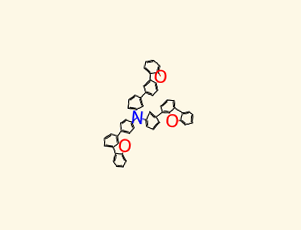 c1cc(-c2ccc3oc4ccccc4c3c2)cc(N(c2ccc(-c3cccc4c3oc3ccccc34)cc2)c2cccc(-c3cccc4c3oc3ccccc34)c2)c1